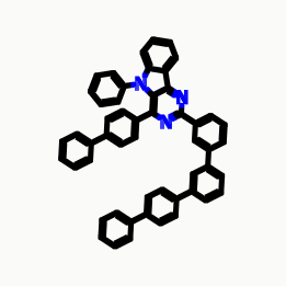 c1ccc(-c2ccc(-c3cccc(-c4cccc(-c5nc(-c6ccc(-c7ccccc7)cc6)c6c(n5)c5ccccc5n6-c5ccccc5)c4)c3)cc2)cc1